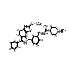 CC(=O)Nc1nc2c(s1)-c1c(c(-c3ccccc3)nn1-c1cccc(CNC(=O)C3CCN(C(C)C)CC3)c1)CC2